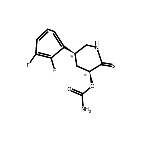 NC(=O)O[C@H]1C[C@@H](c2cccc(F)c2F)CNC1=S